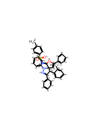 Cc1ccc(S(=O)(=O)/N=C2\OC(c3ccccc3)=CC23C(c2ccccc2C)C(c2ccccc2)=NN3c2ccccc2)cc1